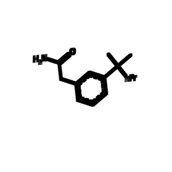 CCCC(C)(C)c1cccc(CC(N)=O)c1